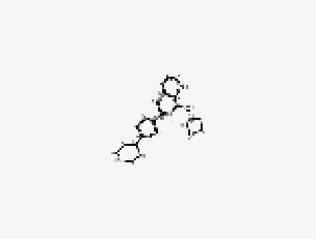 c1cnc2c(O[C@@H]3CCOC3)nc(-c3ccc(C4CCOCC4)cc3)cc2n1